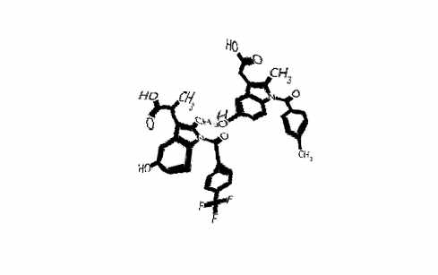 Cc1c(C(C)C(=O)O)c2cc(O)ccc2n1C(=O)c1ccc(C(F)(F)F)cc1.Cc1ccc(C(=O)n2c(C)c(CC(=O)O)c3cc(O)ccc32)cc1